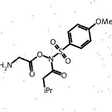 COc1ccc(S(=O)(=O)N(OC(=O)CN)C(=O)CC(C)C)cc1